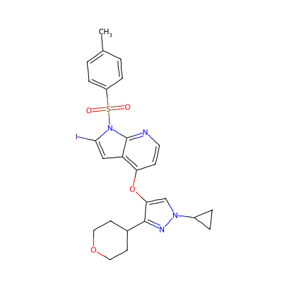 Cc1ccc(S(=O)(=O)n2c(I)cc3c(Oc4cn(C5CC5)nc4C4CCOCC4)ccnc32)cc1